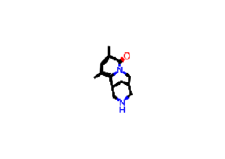 Cc1cc(C)c(=O)n2c1C1CNCC(C1)C2